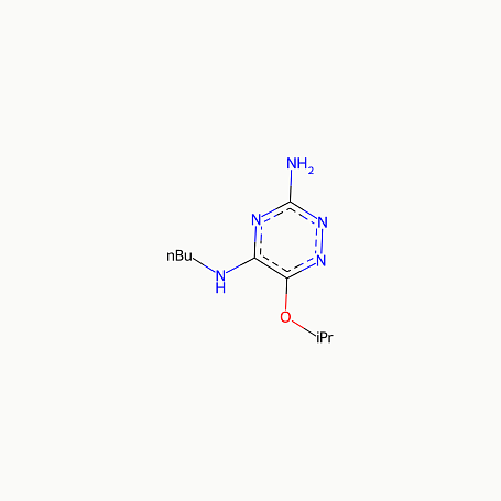 CCCCNc1nc(N)nnc1OC(C)C